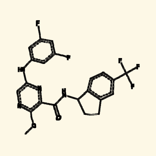 COc1ncc(Nc2cc(F)cc(F)c2)nc1C(=O)NC1CCc2cc(C(F)(F)F)ccc21